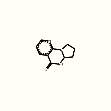 O=C1NC2CCCN2c2ncccc21